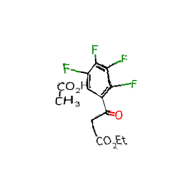 CC(=O)O.CCOC(=O)CC(=O)c1cc(F)c(F)c(F)c1F